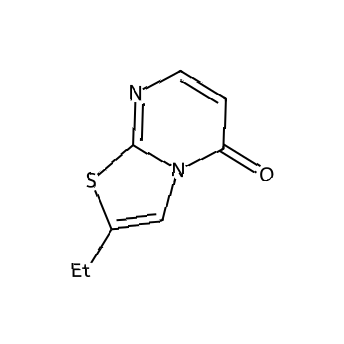 CCc1cn2c(=O)ccnc2s1